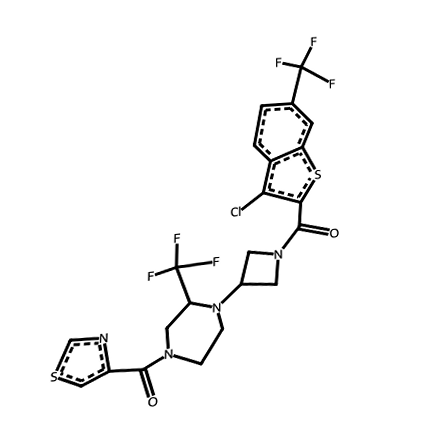 O=C(c1cscn1)N1CCN(C2CN(C(=O)c3sc4cc(C(F)(F)F)ccc4c3Cl)C2)C(C(F)(F)F)C1